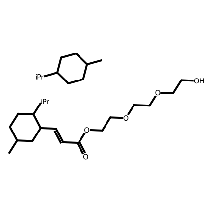 CC1CCC(C(C)C)C(C=CC(=O)OCCOCCOCCO)C1.CC1CCC(C(C)C)CC1